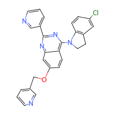 Clc1ccc2c(c1)CCN2c1nc(-c2cccnc2)nc2cc(OCc3cccnc3)ccc12